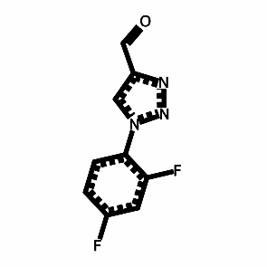 O=Cc1cn(-c2ccc(F)cc2F)nn1